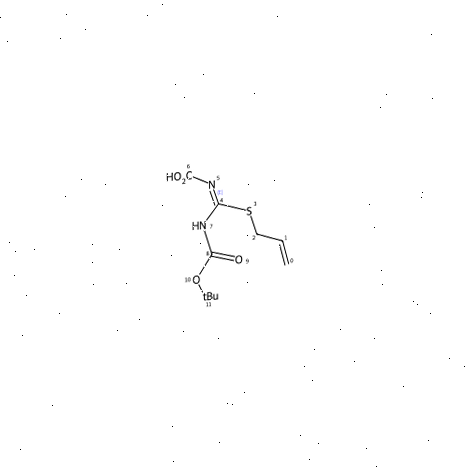 C=CCS/C(=N/C(=O)O)NC(=O)OC(C)(C)C